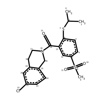 CC(C)Sc1ccc(S(C)(=O)=O)cc1C(=O)N1CCc2cc(Cl)ccc2C1